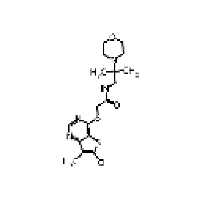 Cc1c(Cl)sc2c(SCC(=O)NCC(C)(C)N3CCOCC3)ncnc12